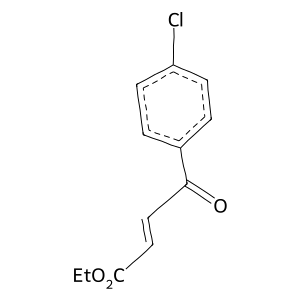 CCOC(=O)C=CC(=O)c1ccc(Cl)cc1